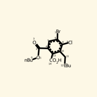 CCCCOC(=O)c1cc(Br)c(Cl)c(CC(C)(C)C)c1C(=O)O